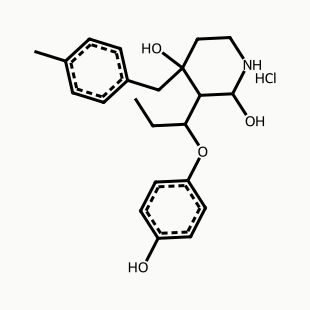 CCC(Oc1ccc(O)cc1)C1C(O)NCCC1(O)Cc1ccc(C)cc1.Cl